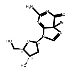 NC1=NC(=O)C2(Br)N=CN([C@H]3C[C@H](O)[C@@H](CO)O3)C2=N1